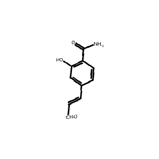 NC(=O)c1ccc(/C=C/C=O)cc1O